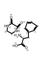 N[C@@H](Cc1ccccc1)C(=O)O.O=C1NCCNC1=O